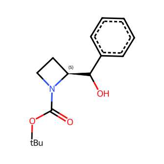 CC(C)(C)OC(=O)N1CC[C@H]1C(O)c1ccccc1